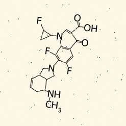 CNC1CC=CC2CN(c3c(F)cc4c(=O)c(C(=O)O)cn(C5CC5F)c4c3F)CC21